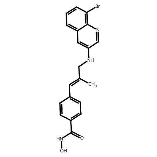 C/C(=C\c1ccc(C(=O)NO)cc1)CNc1cnc2c(Br)cccc2c1